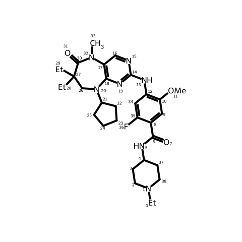 CCN1CCC(NC(=O)c2cc(OC)c(Nc3ncc4c(n3)N(C3CCCC3)CC(CC)(CC)C(=O)N4C)cc2F)CC1